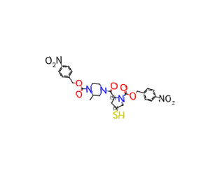 CC1CN(C(=O)[C@@H]2C[C@H](S)CN2C(=O)OCc2ccc([N+](=O)[O-])cc2)CCN1C(=O)OCc1ccc([N+](=O)[O-])cc1